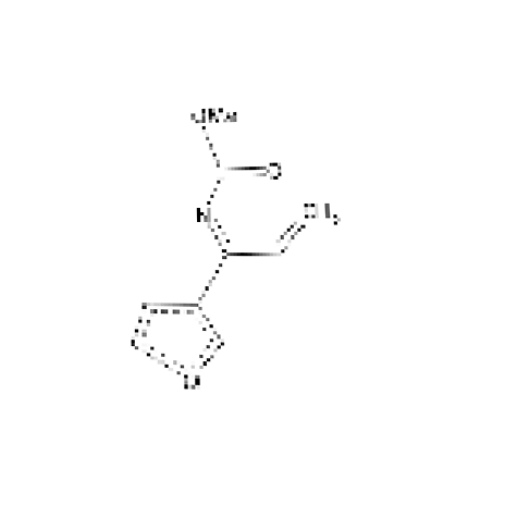 C=CC(=NC(=O)OC)c1ccoc1